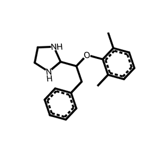 Cc1cccc(C)c1OC(Cc1ccccc1)C1NCCN1